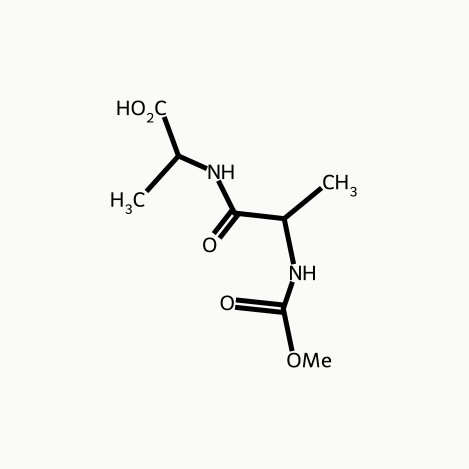 COC(=O)NC(C)C(=O)NC(C)C(=O)O